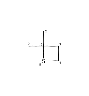 CC1(C)[CH]CS1